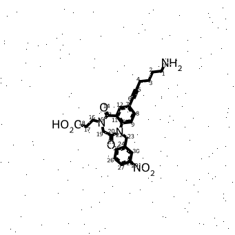 NCCCCC#Cc1ccc2c(c1)C(=O)N(CCC(=O)O)CC(=O)N2Cc1cccc([N+](=O)[O-])c1